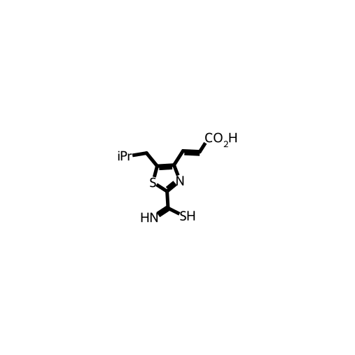 CC(C)Cc1sc(C(=N)S)nc1/C=C/C(=O)O